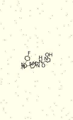 Cn1cc(-c2ccc3nc(NC(=O)c4cccc(O)n4)cn3n2)c(-c2ccc(F)cc2)n1